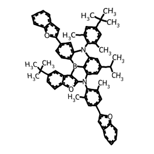 Cc1cc(C(C)(C)C)cc(C)c1N1c2cc(-c3cc4ccccc4o3)ccc2B2c3c1cc(C(C)C)cc3N(c1c(C)cc(-c3cc4ccccc4o3)cc1C)c1oc3ccc(C(C)(C)C)cc3c12